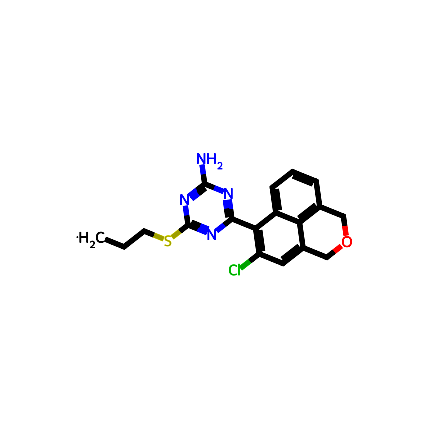 [CH2]CCSc1nc(N)nc(-c2c(Cl)cc3c4c(cccc24)COC3)n1